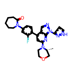 C[C@@H]1COCCN1c1cc(-c2ccc(N3CCCCCC3=O)cc2F)c2cnn(-c3cc[nH]n3)c2n1